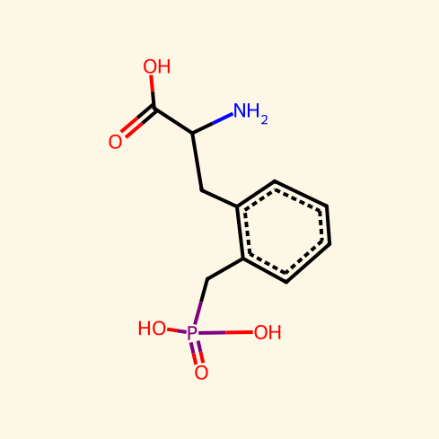 NC(Cc1ccccc1CP(=O)(O)O)C(=O)O